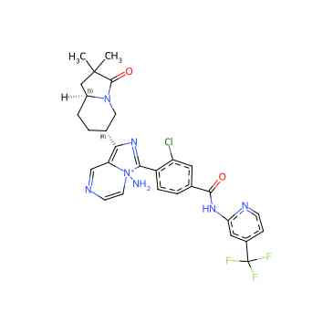 CC1(C)C[C@@H]2CC[C@@H](C3=C4C=NC=C[N+]4(N)C(c4ccc(C(=O)Nc5cc(C(F)(F)F)ccn5)cc4Cl)=N3)CN2C1=O